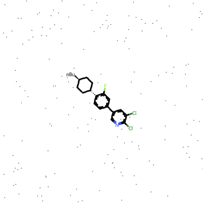 CCCC[C@H]1CC[C@H](c2ccc(-c3cnc(Cl)c(Cl)c3)cc2F)CC1